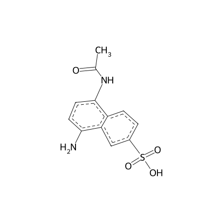 CC(=O)Nc1ccc(N)c2cc(S(=O)(=O)O)ccc12